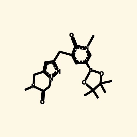 CN1Cc2cc(Cc3cc(B4OC(C)(C)C(C)(C)O4)cn(C)c3=O)nn2CC1=O